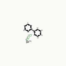 [Cl-].[Cl-].[Cl-].[Sb+3].c1ccc(-c2ccccc2)cc1